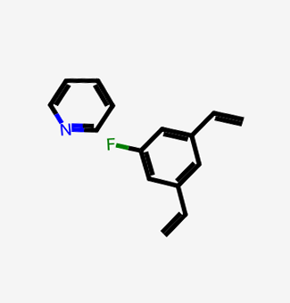 C=Cc1cc(F)cc(C=C)c1.c1ccncc1